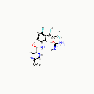 C/N=C(/N)O[C@H](C(F)F)[C@H](F)c1cc(NC(=O)c2cnc(OC)cn2)ccc1F